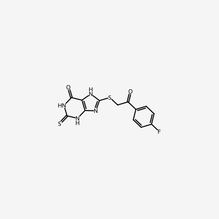 O=C(CSc1nc2[nH]c(=S)[nH]c(=O)c2[nH]1)c1ccc(F)cc1